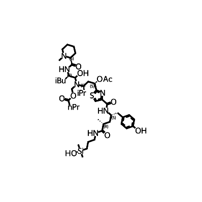 CCCC(=O)OCN(C(O)[C@H](NC(=O)[C@@H]1CCCCN1C)C(C)CC)[C@@H](C[C@H](OC(C)=O)c1nc(C(=O)N[C@H](Cc2ccc(O)cc2)C[C@@H](C)C(=O)NCCC[Si](C)(C)O)cs1)C(C)C